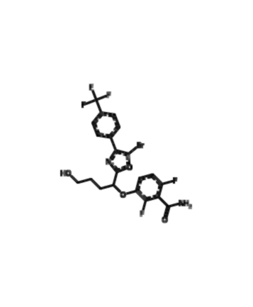 NC(=O)c1c(F)ccc(OC(CCCO)c2nc(-c3ccc(C(F)(F)F)cc3)c(Br)o2)c1F